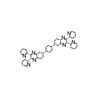 c1ccc(-c2nc3ccc(-c4ccc(-c5ccc6nc(-c7ccccn7)c(-c7ccccn7)nc6c5)cc4)cc3nc2-c2ccccn2)nc1